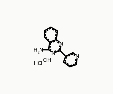 Cl.Cl.Nc1nc(-c2cccnc2)nc2ccccc12